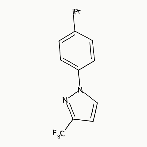 CC(C)c1ccc(-n2ccc(C(F)(F)F)n2)cc1